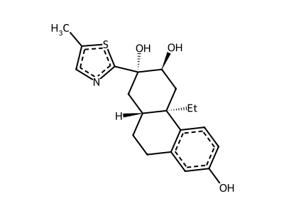 CC[C@@]12C[C@H](O)[C@](O)(c3ncc(C)s3)C[C@H]1CCc1cc(O)ccc12